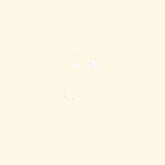 CC1(C)Cc2ccccc2/C(=C/C(=O)c2cccc(OC(F)(F)F)c2)N1